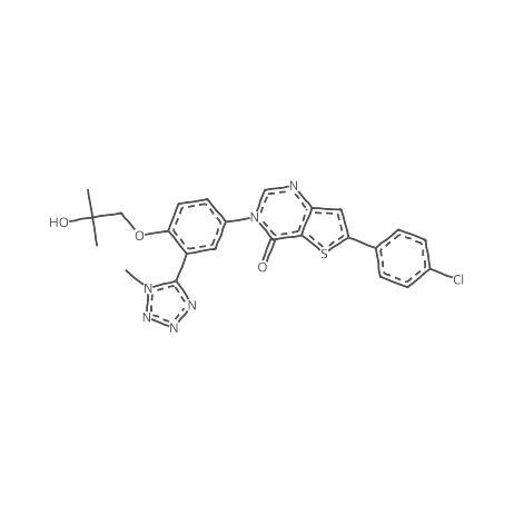 Cn1nnnc1-c1cc(-n2cnc3cc(-c4ccc(Cl)cc4)sc3c2=O)ccc1OCC(C)(C)O